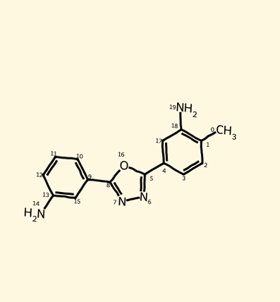 Cc1ccc(-c2nnc(-c3cccc(N)c3)o2)cc1N